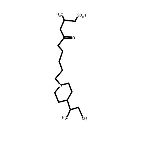 CC(CC(=O)CCCCCN1CCC(C(C)CO)CC1)CS(=O)(=O)O